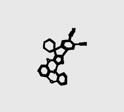 N#Cc1cc2c(cc1C#N)C1(CCCCC1)c1c-2sc2c1Oc1cccc3c1N2c1ccccc1O3